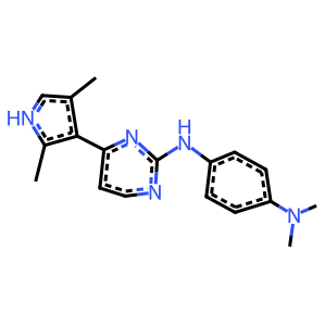 Cc1c[nH]c(C)c1-c1ccnc(Nc2ccc(N(C)C)cc2)n1